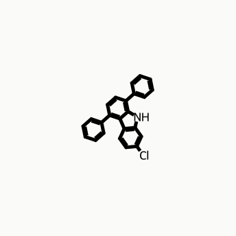 Clc1ccc2c(c1)[nH]c1c(-c3ccccc3)ccc(-c3ccccc3)c12